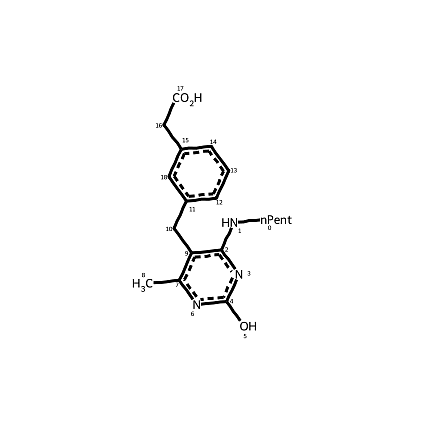 CCCCCNc1nc(O)nc(C)c1Cc1cccc(CC(=O)O)c1